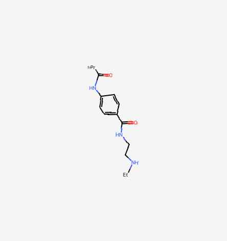 CCCC(=O)Nc1ccc(C(=O)NCCNCC)cc1